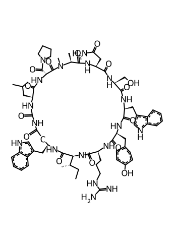 CC[C@H](C)[C@@H]1NC(=O)[C@H](CCCNC(=N)N)NC(=O)[C@H](Cc2ccc(O)cc2)NC(=O)[C@H](Cc2c[nH]c3ccccc23)NC(=O)[C@H](CO)NC(=O)[C@H](CC(N)=O)NC(=O)[C@H](C)N(C)C(=O)[C@@H](C(=O)N2CCCC2)NC(=O)[C@H](CC(C)C)NC(=O)NC(=O)C[C@H](Cc2c[nH]c3ccccc23)NC1=O